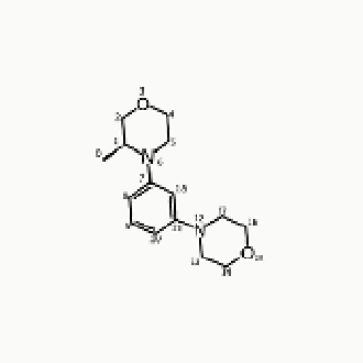 C[C@H]1COCCN1c1cccc(N2CCOCC2)c1